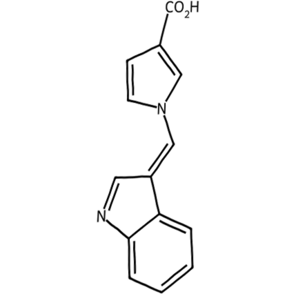 O=C(O)c1ccn(C=C2C=Nc3ccccc32)c1